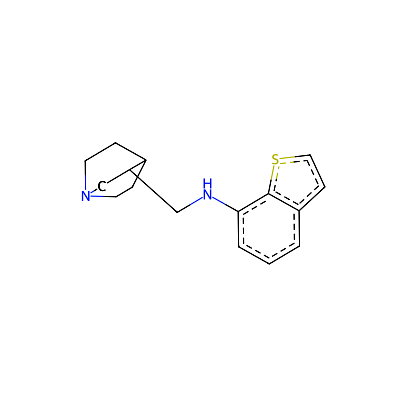 c1cc(NCC2CN3CCC2CC3)c2sccc2c1